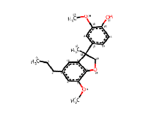 CCCc1cc(OC)c2c(c1)C(C)(c1ccc(O)c(OC)c1)CO2